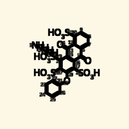 N.N.N.N.O=C1c2cccc(S(=O)(=O)O)c2C(=O)c2c1c(S(=O)(=O)O)c(Oc1ccccc1)c(S(=O)(=O)O)c2S(=O)(=O)O